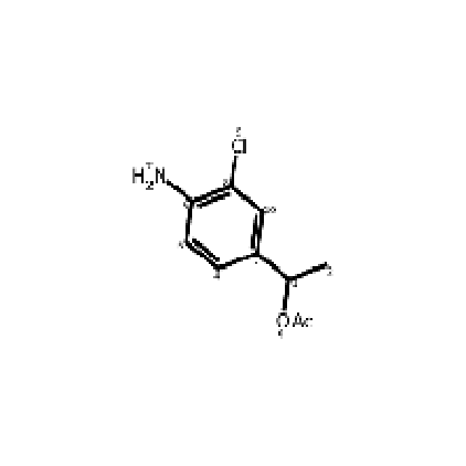 CC(=O)OC(C)c1ccc(N)c(Cl)c1